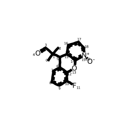 CC(C)(C=O)C1c2cccc(F)c2Oc2c1ccc[n+]2[O-]